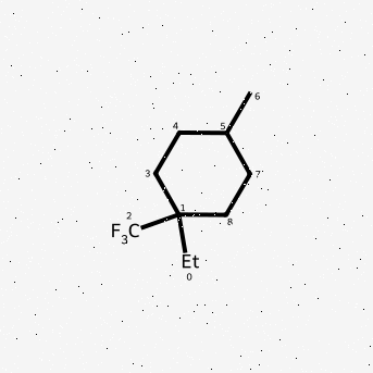 CCC1(C(F)(F)F)CCC(C)CC1